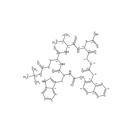 CC(=O)NC(Cc1c[nH]c2ccccc12)C(=O)NC(CCC(=O)OC(C)(C)C)C(=O)NC(C(=O)NC(CC(=O)O)C(=O)COC(=O)Cc1cccc2ccccc12)C(C)C